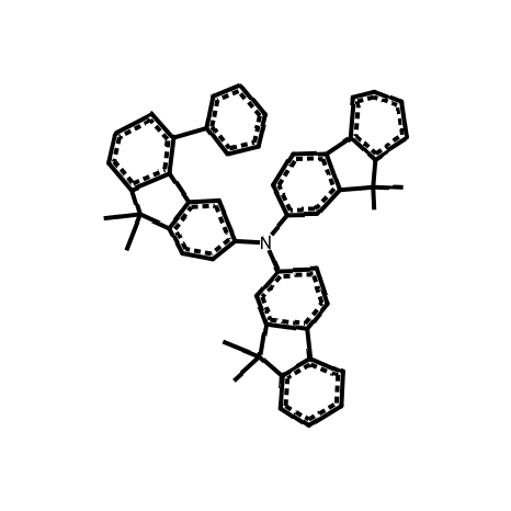 CC1(C)c2ccccc2-c2ccc(N(c3ccc4c(c3)-c3c(-c5ccccc5)cccc3C4(C)C)c3ccc4c(c3)C(C)(C)c3ccccc3-4)cc21